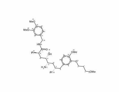 COCCCOc1cc(C[C@@H](C[C@H](N)[C@@H](O)C[C@H](C(=O)NCc2ccc(OC)c(OC)c2)C(C)C)C(C)C)ccc1OC